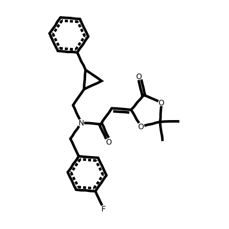 CC1(C)OC(=O)/C(=C/C(=O)N(Cc2ccc(F)cc2)CC2CC2c2ccccc2)O1